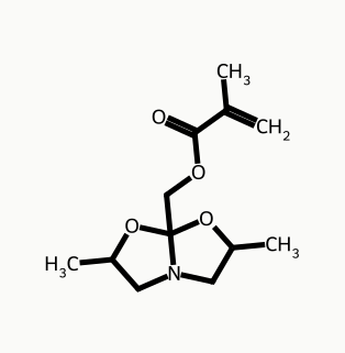 C=C(C)C(=O)OCC12OC(C)CN1CC(C)O2